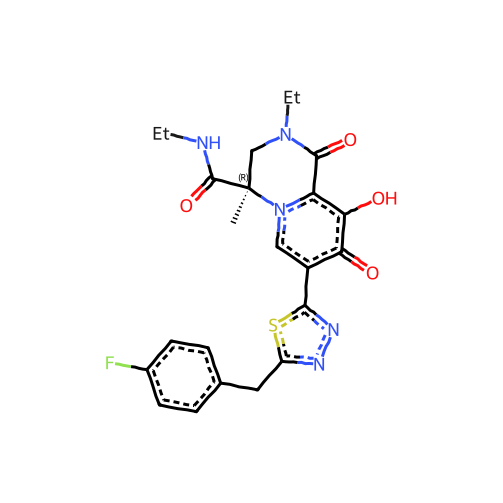 CCNC(=O)[C@@]1(C)CN(CC)C(=O)c2c(O)c(=O)c(-c3nnc(Cc4ccc(F)cc4)s3)cn21